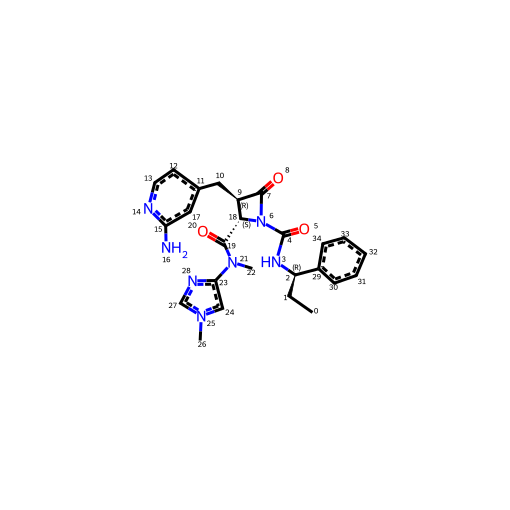 CC[C@@H](NC(=O)N1C(=O)[C@H](Cc2ccnc(N)c2)[C@H]1C(=O)N(C)c1cn(C)cn1)c1ccccc1